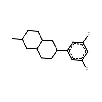 CC1CCC2CC(c3cc(F)cc(F)c3)CCC2C1